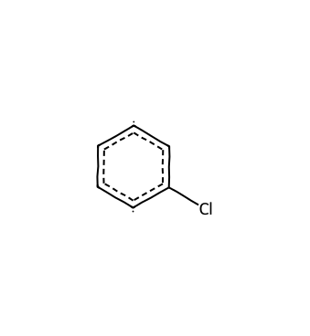 Clc1[c]cc[c]c1